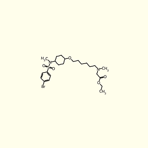 CCOC(=O)CN(C)CCCCCCOC1CCC(N(C)S(=O)(=O)c2ccc(Br)cc2)CC1